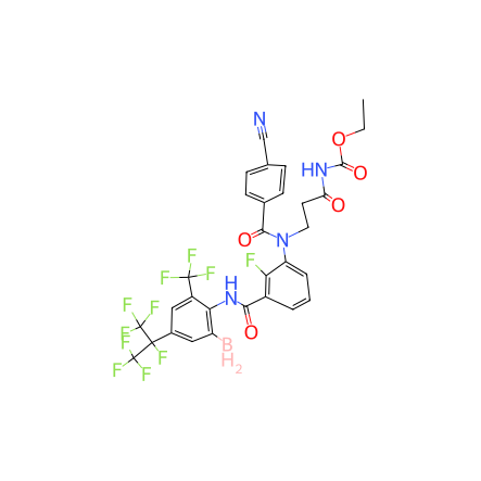 Bc1cc(C(F)(C(F)(F)F)C(F)(F)F)cc(C(F)(F)F)c1NC(=O)c1cccc(N(CCC(=O)NC(=O)OCC)C(=O)c2ccc(C#N)cc2)c1F